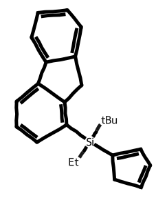 CC[Si](C1=CC=CC1)(c1cccc2c1Cc1ccccc1-2)C(C)(C)C